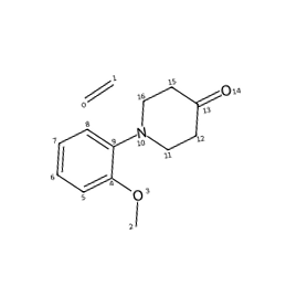 C=C.COc1ccccc1N1CCC(=O)CC1